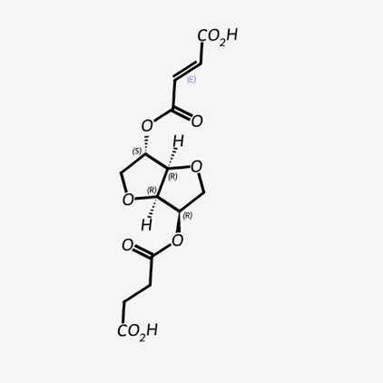 O=C(O)/C=C/C(=O)O[C@H]1CO[C@H]2[C@@H]1OC[C@H]2OC(=O)CCC(=O)O